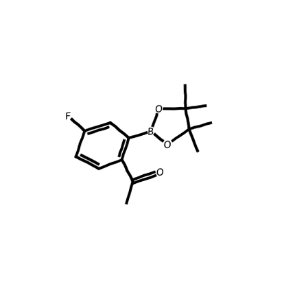 CC(=O)c1ccc(F)cc1B1OC(C)(C)C(C)(C)O1